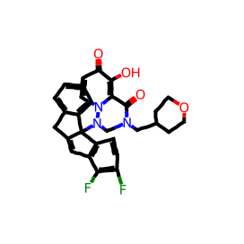 O=C1c2c(O)c(=O)ccn2N(C23C(=Cc4c2ccc(F)c4F)Cc2ccccc23)CN1CC1CCOCC1